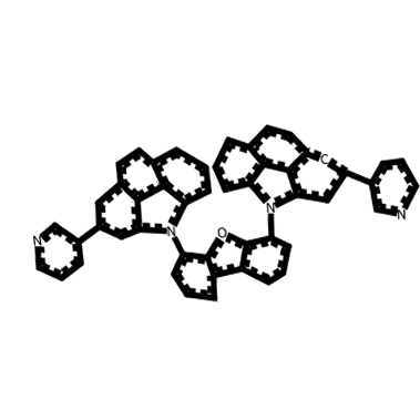 c1cncc(-c2cc3ccc4cccc5c4c3c(c2)n5-c2cccc3c2oc2c(-n4c5cccc6ccc7cc(-c8cccnc8)cc4c7c65)cccc23)c1